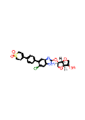 O=S1(=O)CC=C(c2ccc(-c3cc4nc(O[C@@H]5CO[C@H]6[C@@H]5OC[C@H]6O)[nH]c4cc3Cl)cc2)CC1